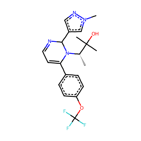 C[C@H](N1C(c2ccc(OC(F)(F)F)cc2)=CC=NC1c1cnn(C)c1)C(C)(C)O